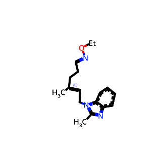 CCON=CCC/C(C)=C/Cn1c(C)nc2ccccc21